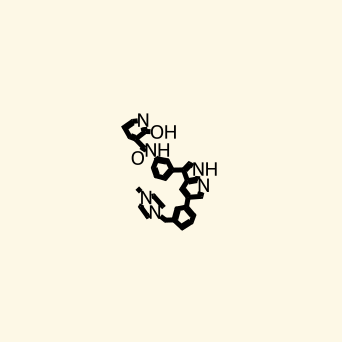 CN1CCN(Cc2cccc(-c3cnc4[nH]cc(-c5cccc(NC(=O)c6cccnc6O)c5)c4c3)c2)CC1